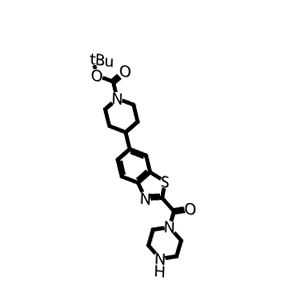 CC(C)(C)OC(=O)N1CCC(c2ccc3nc(C(=O)N4CCNCC4)sc3c2)CC1